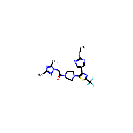 CCOc1ncc(-c2nc(C(F)(F)F)sc2N2CCN(C(=O)Cn3nc(C)nc3C)CC2)cn1